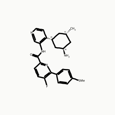 CSc1ccc(-c2nc(C(=O)Nc3cnccc3[C@@H]3C[C@H](C)C[C@@H](N)C3)ccc2F)cc1